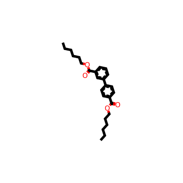 CCCCCCOC(=O)c1ccc(-c2cccc(C(=O)OCCCCCC)c2)cc1